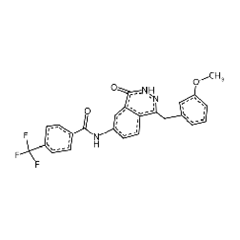 COc1cccc(Cc2n[nH]c(=O)c3cc(NC(=O)c4ccc(C(F)(F)F)cc4)ccc23)c1